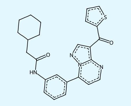 O=C(CC1CCCCC1)Nc1cccc(-c2ccnc3c(C(=O)c4cccs4)cnn23)c1